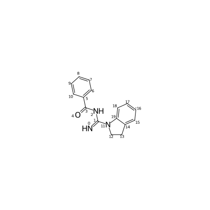 N=C(NC(=O)c1ccccc1)N1CCc2c[c]ccc21